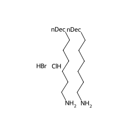 Br.CCCCCCCCCCCCCCCCN.CCCCCCCCCCCCCCCCN.Cl